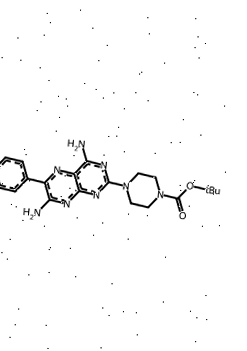 CC(C)(C)OC(=O)N1CCN(c2nc(N)c3nc(-c4ccccc4)c(N)nc3n2)CC1